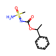 CC(OC(=O)N=S(C)(N)=O)c1ccccc1